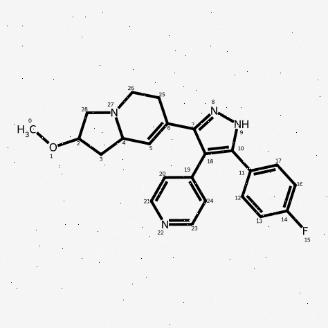 COC1CC2C=C(c3n[nH]c(-c4ccc(F)cc4)c3-c3ccncc3)CCN2C1